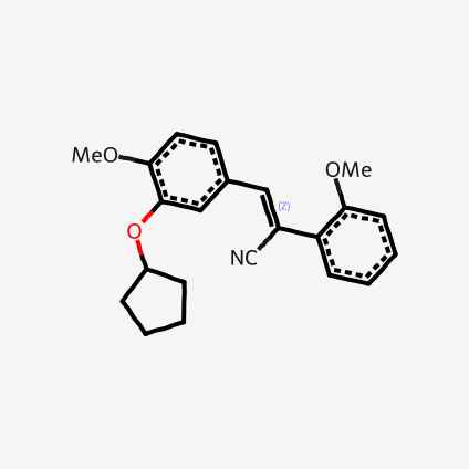 COc1ccc(/C=C(\C#N)c2ccccc2OC)cc1OC1CCCC1